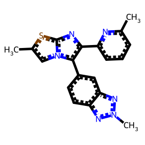 Cc1cccc(-c2nc3sc(C)cn3c2-c2ccc3nn(C)nc3c2)n1